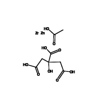 CC(=O)O.O=C(O)CC(O)(CC(=O)O)C(=O)O.[Zn].[Zr]